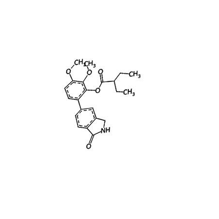 CCC(CC)C(=O)Oc1c(-c2ccc3c(c2)CNC3=O)ccc(OC)c1OC